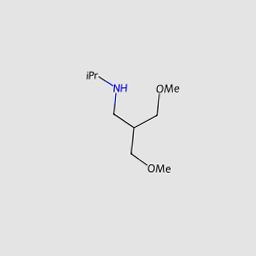 COCC(CNC(C)C)COC